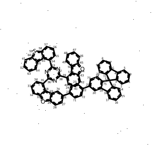 c1ccc2c(c1)-c1ccccc1C21c2ccccc2-c2cc(-c3ccc(-c4ccc5oc6cccc(-c7nc(-c8cccc9oc%10ccccc%10c89)nc(-c8cccc9sc%10ccccc%10c89)n7)c6c5c4)cc3)ccc21